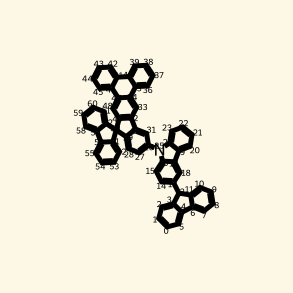 c1ccc2c(c1)-c1ccccc1C2c1ccc2c(c1)c1ccccc1n2-c1ccc2c(c1)-c1cc3c4ccccc4c4ccccc4c3cc1C21c2ccccc2-c2ccccc21